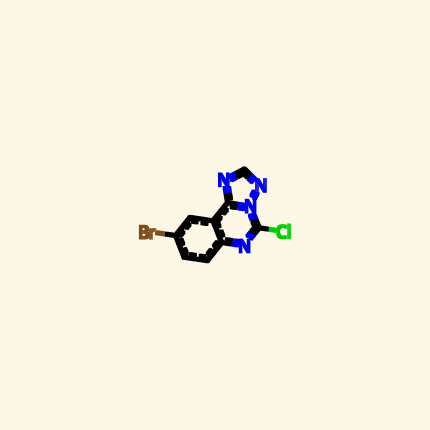 Clc1nc2ccc(Br)cc2c2ncnn12